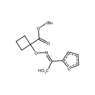 CC(C)(C)OC(=O)C1(O/N=C(\C(=O)O)c2ccco2)CCC1